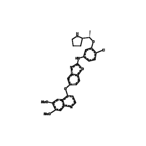 COc1cc2nccc(Oc3ccc4oc(Nc5ccc(Cl)c(O[C@@H](C)C6CCCN6)c5)nc4c3)c2cc1OC